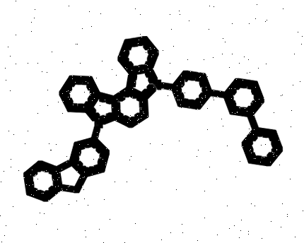 c1ccc(-c2cccc(-c3ccc(-n4c5ccccc5c5c6c7ccccc7n(-c7ccc8c(c7)-c7ccccc7C8)c6ccc54)cc3)c2)cc1